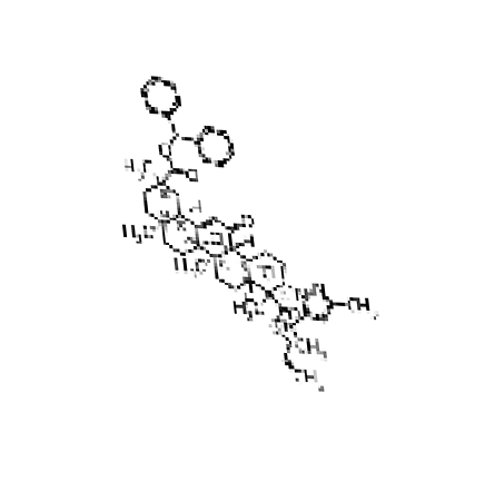 C=CCOC(=O)[C@]1(C)[C@@H](n2nc(C)cc2C(C)=O)CC[C@@]2(C)[C@H]1CC[C@]1(C)[C@@H]2C(=O)C=C2[C@@H]3C[C@@](C)(C(=O)OC(c4ccccc4)c4ccccc4)CC[C@]3(C)CC[C@]21C